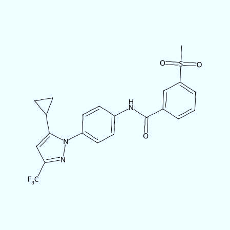 CS(=O)(=O)c1cccc(C(=O)Nc2ccc(-n3nc(C(F)(F)F)cc3C3CC3)cc2)c1